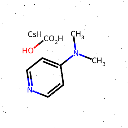 CN(C)c1ccncc1.O=C(O)O.[CsH]